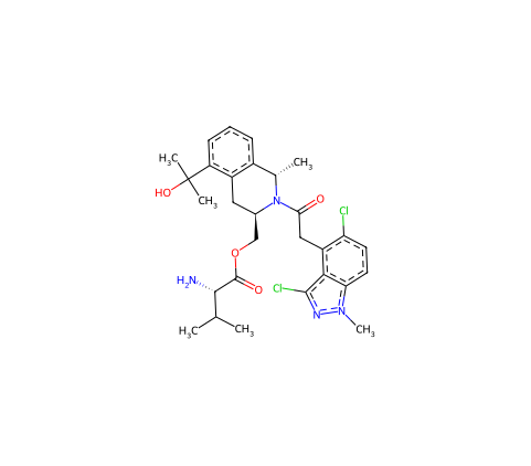 CC(C)[C@H](N)C(=O)OC[C@H]1Cc2c(cccc2C(C)(C)O)[C@H](C)N1C(=O)Cc1c(Cl)ccc2c1c(Cl)nn2C